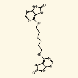 O=c1[nH]c2ncnc(NCCSSCCNc3ncnc4[nH]c(=O)[nH]c34)c2[nH]1